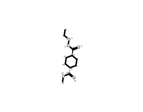 CCOOC(=O)[C@H]1CC[C@H](C(=O)OC)CC1